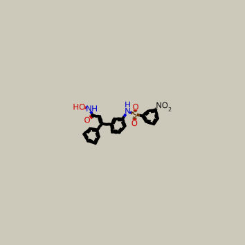 O=C(/C=C(\c1ccccc1)c1cccc(NS(=O)(=O)c2cccc([N+](=O)[O-])c2)c1)NO